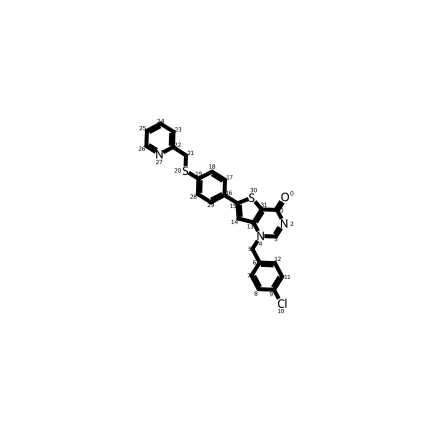 O=c1ncn(Cc2ccc(Cl)cc2)c2cc(-c3ccc(SCc4ccccn4)cc3)sc12